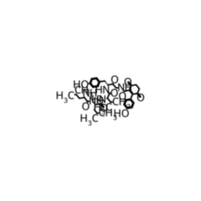 CC(C)C[C@H](NC(=O)[C@@H](N)CC(C)C)C(=O)N[C@H](C(=O)N[C@@H](Cc1ccc(O)cc1)C(=O)CNC(=O)C1=C(c2ccc(O)cc2)C(=O)CCC1=O)C(C)C